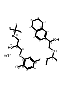 CCC(C)NCC(O)c1ccc2c(c1)CCCC2.Cc1ccc(Cl)c(OCC(O)CNC(C)(C)C)c1.Cl